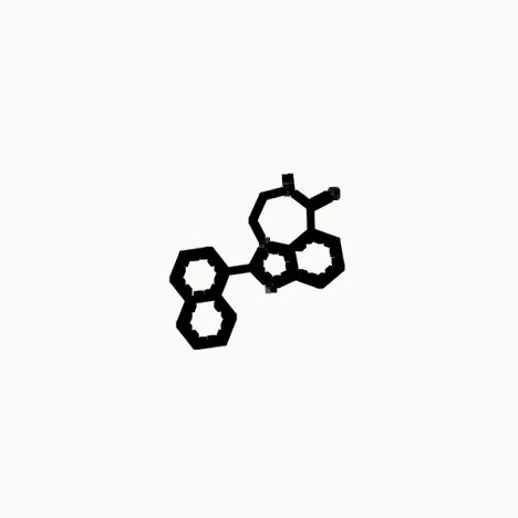 O=C1NCCn2c(-c3cccc4ccccc34)nc3cccc1c32